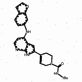 CC(C)(C)NC(=O)N1CC=C(c2cc3c(Nc4ccc5ccsc5c4)ccnc3[nH]2)CC1